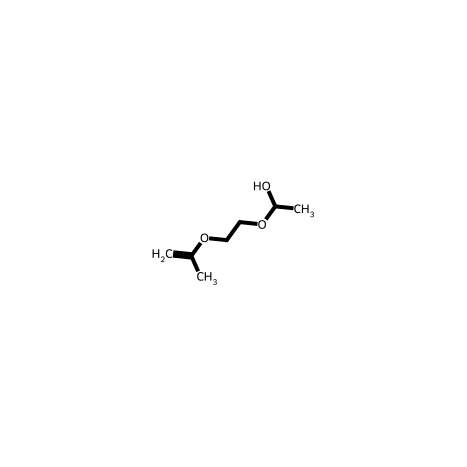 C=C(C)OCCOC(C)O